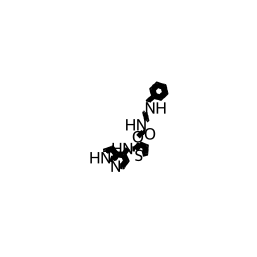 O=C(NCCNCc1ccccc1)Oc1ccsc1Nc1ccnc2[nH]ccc12